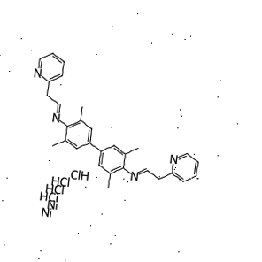 Cc1cc(-c2cc(C)c(N=CCc3ccccn3)c(C)c2)cc(C)c1N=CCc1ccccn1.Cl.Cl.Cl.Cl.[Ni].[Ni]